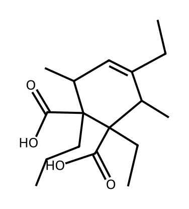 CCCC1(C(=O)O)C(C)C=C(CC)C(C)C1(CC)C(=O)O